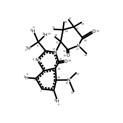 [2H]c1cc([2H])c2nc(C([2H])([2H])[2H])n(C3(C)C(=O)N(C)C(=O)C(C)(C)C3(C)C)c(=O)c2c1N(C)C